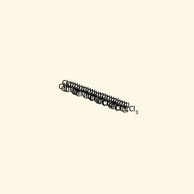 Cl[C](Cl)C(Cl)(Cl)C(Cl)(Cl)C(Cl)(Cl)C(Cl)(Cl)C(Cl)(Cl)C(Cl)(Cl)C(Cl)(Cl)C(Cl)(Cl)C(Cl)(Cl)C(Cl)(Cl)C(Cl)(Cl)C(Cl)(Cl)C(Cl)(Cl)C(Cl)(Cl)C(Cl)(Cl)C(Cl)(Cl)C(Cl)(Cl)C(Cl)(Cl)C(Cl)(Cl)C(Cl)(Cl)C(Cl)(Cl)C(Cl)(Cl)C(Cl)(Cl)C(Cl)(Cl)C(Cl)(Cl)C(Cl)(Cl)C(Cl)(Cl)C(Cl)(Cl)C(Cl)(Cl)Cl